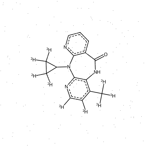 [2H]c1nc2c(c(C([2H])([2H])[2H])c1[2H])NC(=O)c1cccnc1N2C1C([2H])([2H])C1([2H])[2H]